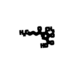 C=CCCC(=O)N1CC(C(=O)O)C(=O)C1C